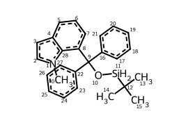 Cn1ccc2cccc(C(O[SiH2]C(C)(C)C)(c3ccccc3)c3ccccc3)c21